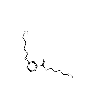 CCCCCOC(=O)c1cccc(OCCCCC)c1